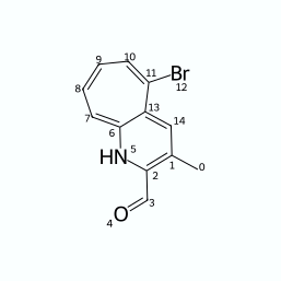 CC1=C(C=O)NC2=CC=CC=C(Br)C2=C1